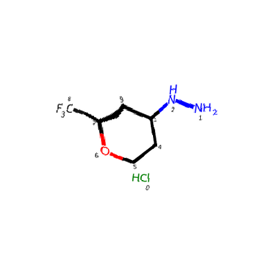 Cl.NNC1CCOC(C(F)(F)F)C1